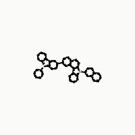 c1ccc(-n2c3ccccc3c3cc(-c4ccc5ccc6c(c5c4)c4ccccc4n6-c4ccc5ccccc5c4)ccc32)cc1